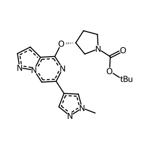 Cn1cc(-c2cn3nccc3c(O[C@@H]3CCN(C(=O)OC(C)(C)C)C3)n2)cn1